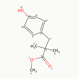 COC(=O)C(C)(C)Cc1ccc(O)cc1